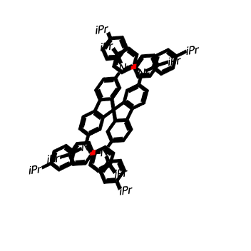 CC(C)c1ccc(N(C2=CC=C3c4ccc(N(c5ccc(C(C)C)cc5)c5ccc(C(C)C)cc5)cc4C4(c5cc(N(c6ccc(C(C)C)cc6)c6ccc(C(C)C)cc6)ccc5-c5ccc(N(c6ccc(C(C)C)cc6)c6ccc(C(C)C)cc6)cc54)C3C2)c2ccc(C(C)C)cc2)cc1